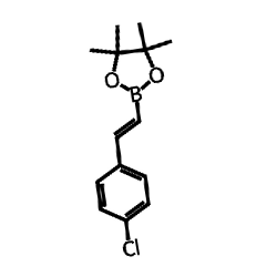 CC1(C)OB(/C=C/c2ccc(Cl)cc2)OC1(C)C